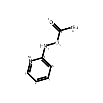 CC(C)(C)C(=O)ONc1ccccn1